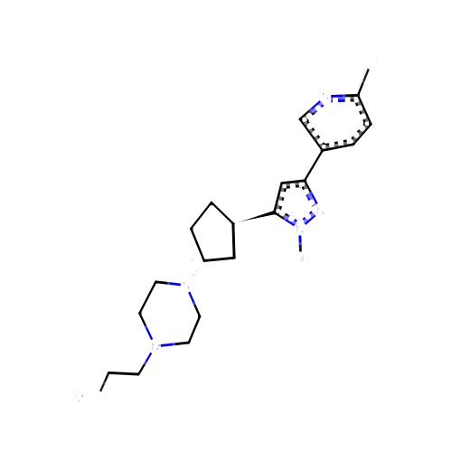 COCCN1CCN([C@@H]2CC[C@@H](c3cc(-c4ccc(C(F)(F)F)nc4)nn3C(C)C)C2)CC1